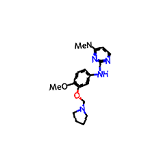 CNc1ccnc(Nc2ccc(OC)c(OCN3CCCC3)c2)n1